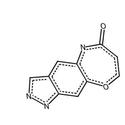 O=c1ccoc2cc3nncc3cc2n1